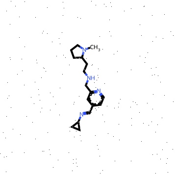 CN1CCCC1CCNCc1cc(/C=N/C2CC2)ccn1